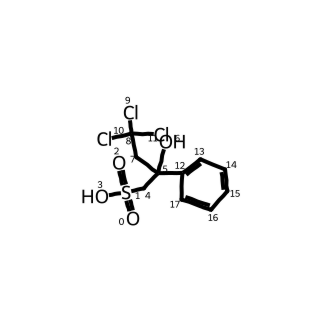 O=S(=O)(O)CC(O)(CC(Cl)(Cl)Cl)c1ccccc1